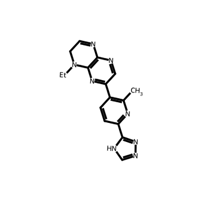 CCN1CC=Nc2ncc(-c3ccc(-c4nnc[nH]4)nc3C)nc21